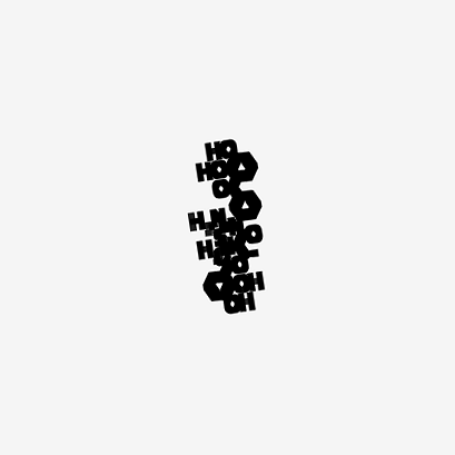 C[C@@H](OC(=O)c1cccc(O)c1O)[C@H](N)C(=O)N(C(N)=S)c1cccc(C(=O)c2cccc(O)c2O)c1